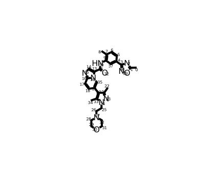 Cc1nc(-c2ccc(C)c(NC(=O)c3cnc4ccc(-c5c(C)nn(CCN6CCOCC6)c5C)cn34)c2)no1